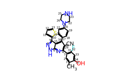 Cc1cc(-c2nc3[nH]nc(-c4cccs4)c3c(-c3ccc(N4CCNCC4)cc3)c2C#N)c(F)cc1O